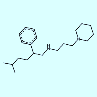 CC(C)CCC(CNCCCN1CCCCC1)c1ccccc1